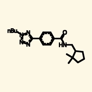 CCCCn1nnc(-c2ccc(C(=O)NCC3CCCC3(C)C)cc2)n1